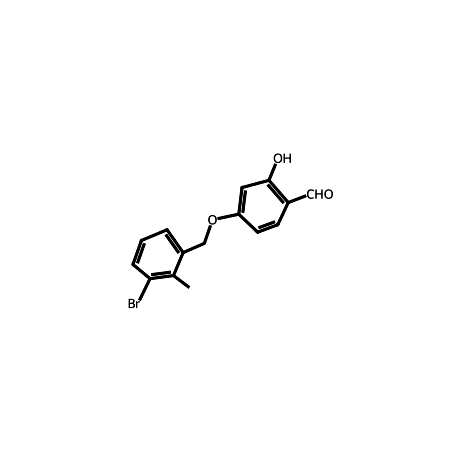 Cc1c(Br)cccc1COc1ccc(C=O)c(O)c1